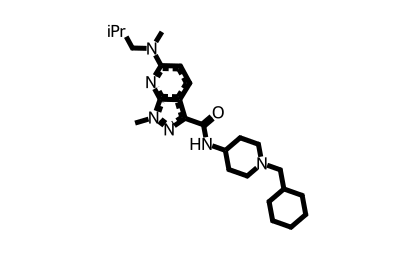 CC(C)CN(C)c1ccc2c(C(=O)NC3CCN(CC4CCCCC4)CC3)nn(C)c2n1